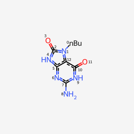 CCCCn1c(=O)[nH]c2nc(N)[nH]c(=O)c21